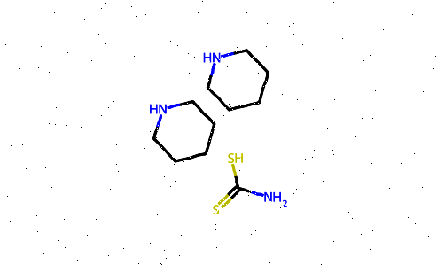 C1CCNCC1.C1CCNCC1.NC(=S)S